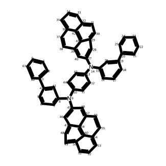 c1ccc(-c2cccc(N(c3ccc(N(c4cccc(-c5ccccc5)c4)c4cc5ccc6cccc7ccc(c4)c5c67)cc3)c3cc4ccc5cccc6ccc(c3)c4c56)c2)cc1